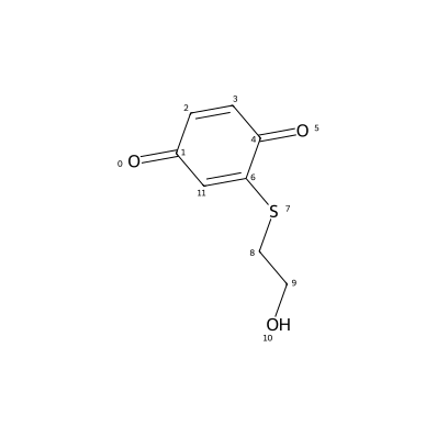 O=C1C=CC(=O)C(SCCO)=C1